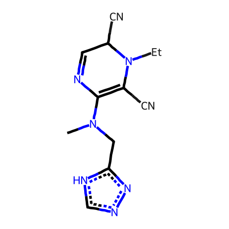 CCN1C(C#N)=C(N(C)Cc2nnc[nH]2)N=CC1C#N